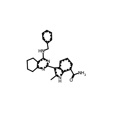 Cc1[nH]c2c(C(N)=O)cccc2c1-c1nc2c(c(NCc3ccccc3)n1)CCCC2